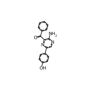 Nc1ncc(-c2ccc(O)cc2)nc1C(=O)c1ccccc1